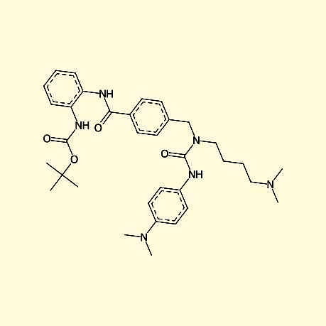 CN(C)CCCCN(Cc1ccc(C(=O)Nc2ccccc2NC(=O)OC(C)(C)C)cc1)C(=O)Nc1ccc(N(C)C)cc1